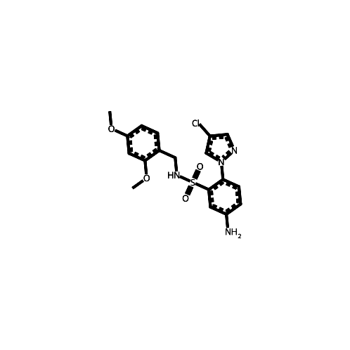 COc1ccc(CNS(=O)(=O)c2cc(N)ccc2-n2cc(Cl)cn2)c(OC)c1